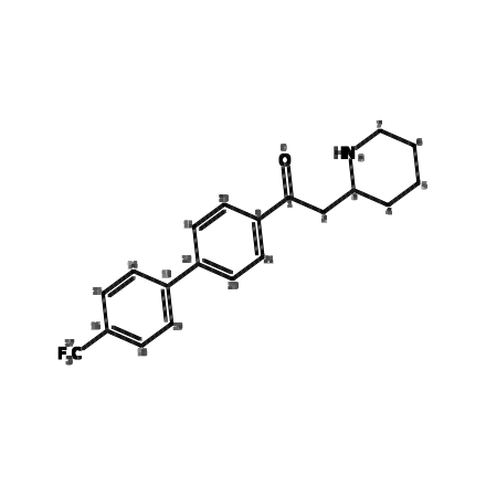 O=C(CC1CCCCN1)c1ccc(-c2ccc(C(F)(F)F)cc2)cc1